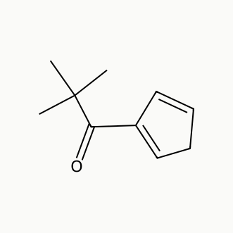 CC(C)(C)C(=O)C1=CCC=C1